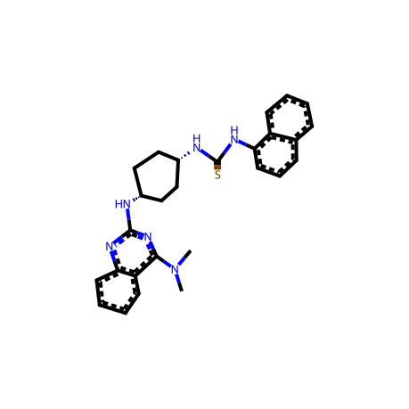 CN(C)c1nc(N[C@H]2CC[C@@H](NC(=S)Nc3cccc4ccccc34)CC2)nc2ccccc12